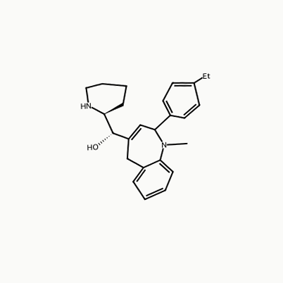 CCc1ccc(C2C=C([C@H](O)[C@@H]3CCCCN3)Cc3ccccc3N2C)cc1